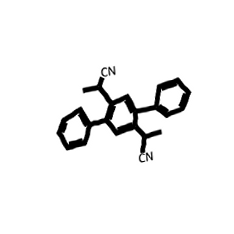 CC(C#N)c1cc(-c2ccccc2)c(C(C)C#N)cc1-c1ccccc1